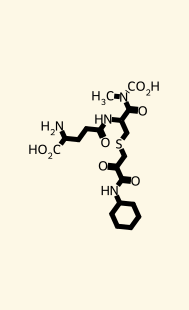 CN(C(=O)O)C(=O)C(CSCC(=O)C(=O)NC1CCCCC1)NC(=O)CCC(N)C(=O)O